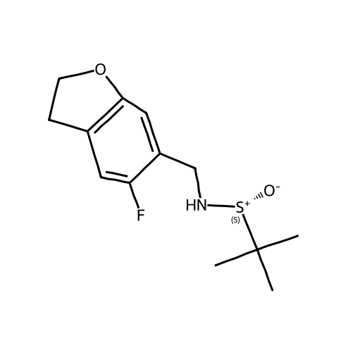 CC(C)(C)[S@@+]([O-])NCc1cc2c(cc1F)CCO2